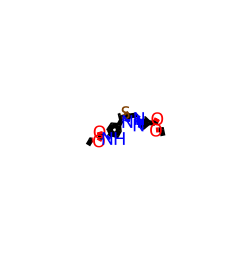 CCOC(=O)Nc1ccc(-c2csc(Cn3cc(C(=O)OCC)cn3)n2)cc1